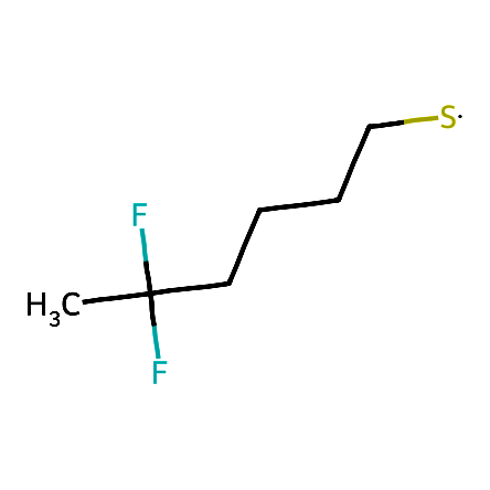 CC(F)(F)CCCC[S]